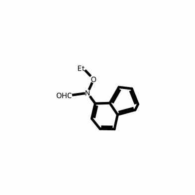 CCON(C=O)c1cccc2ccccc12